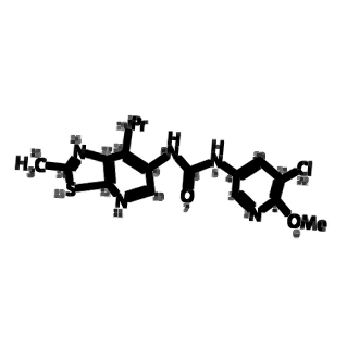 COc1ncc(NC(=O)Nc2cnc3sc(C)nc3c2C(C)C)cc1Cl